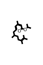 CC(C=CCC(C)CCC(C)=C(C)C)=CC(=O)OC(C)C